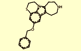 c1ccc(COc2cc3c4c(c2)c2c(n4CCS3)CCNCC2)cc1